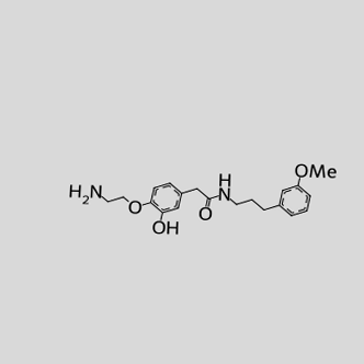 COc1cccc(CCCNC(=O)Cc2ccc(OCCN)c(O)c2)c1